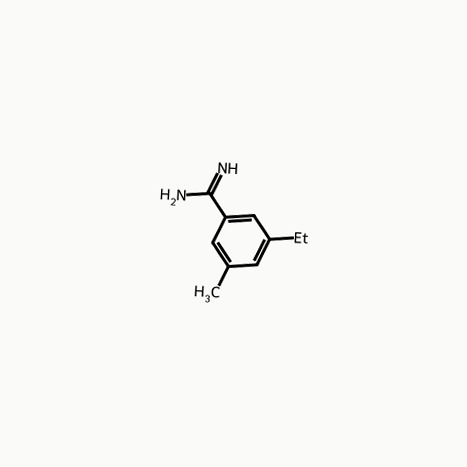 CCc1cc(C)cc(C(=N)N)c1